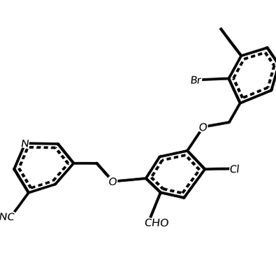 Cc1cccc(COc2cc(OCc3cncc(C#N)c3)c(C=O)cc2Cl)c1Br